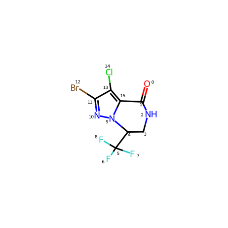 O=C1NCC(C(F)(F)F)n2nc(Br)c(Cl)c21